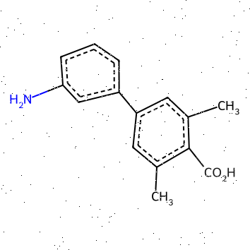 Cc1cc(-c2cccc(N)c2)cc(C)c1C(=O)O